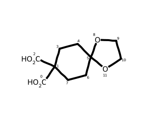 O=C(O)C1(C(=O)O)CCC2(CC1)OCCO2